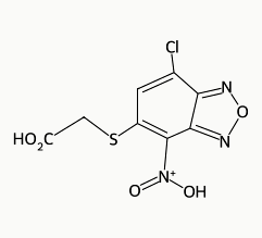 O=C(O)CSc1cc(Cl)c2nonc2c1[N+](=O)O